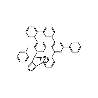 c1ccc(-c2cc(-c3cccc(-c4ccccc4-c4cccc5c4Sc4ccccc4C54c5ccccc5-c5ccccc54)c3)nc(-c3ccccc3)n2)cc1